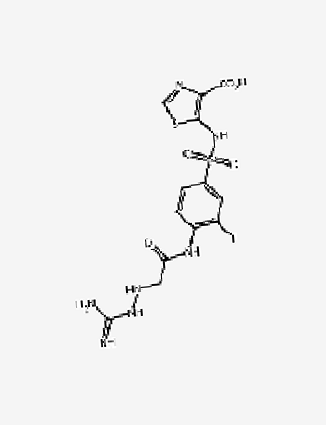 N=C(N)NNCC(=O)Nc1ccc(S(=O)(=O)Nc2scnc2C(=O)O)cc1F